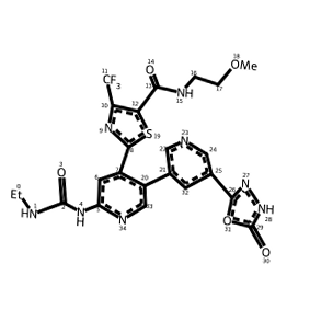 CCNC(=O)Nc1cc(-c2nc(C(F)(F)F)c(C(=O)NCCOC)s2)c(-c2cncc(-c3n[nH]c(=O)o3)c2)cn1